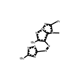 CC(C)c1nn2nc(C(C)(C)C)c(/N=N\c3nc(C(C)(C)C)ns3)c2n1C